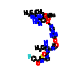 Cc1n[nH]c(Nc2ncnc3cc(OCCN4CCN(c5ncc(OC[C@H]6CN(C[C@H]7CN[C@H](C)CN7CC(=O)N7CCC[C@H]7c7nc(C(=O)c8ccc(F)cc8)cs7)CCO6)cn5)CC4)c(S(=O)(=O)C(C)(C)C)cc23)c1C